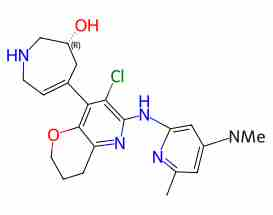 CNc1cc(C)nc(Nc2nc3c(c(C4=CCNC[C@H](O)C4)c2Cl)OCCC3)c1